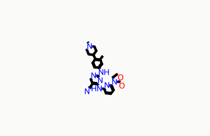 Cc1cc(Nc2ncc(C#N)c(Nc3cccc(N4CCOC4=O)n3)n2)ccc1C1CCN(C)CC1